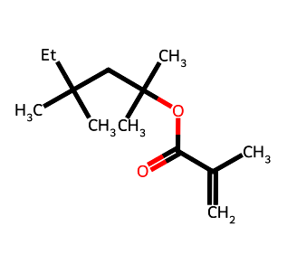 C=C(C)C(=O)OC(C)(C)CC(C)(C)CC